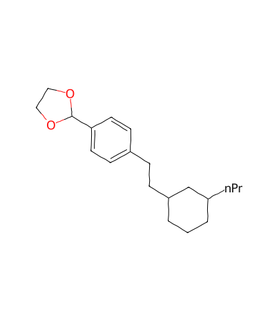 CCCC1CCCC(CCc2ccc(C3OCCO3)cc2)C1